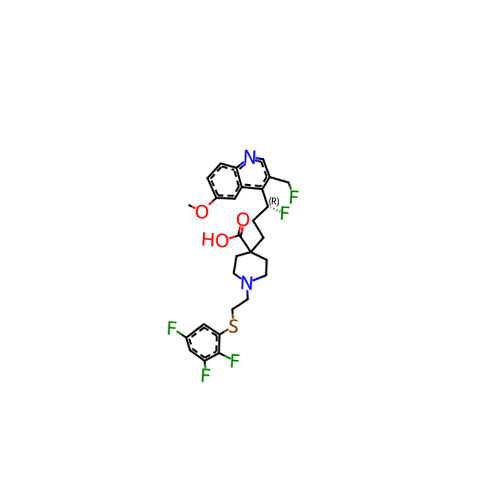 COc1ccc2ncc(CF)c([C@H](F)CCC3(C(=O)O)CCN(CCSc4cc(F)cc(F)c4F)CC3)c2c1